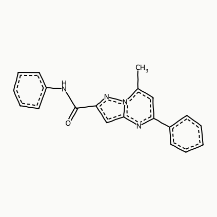 Cc1cc(-c2ccccc2)nc2cc(C(=O)Nc3ccccc3)nn12